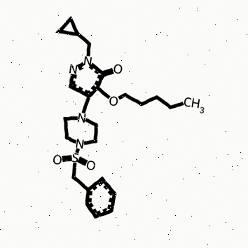 CCCCCOc1c(N2CCN(S(=O)(=O)Cc3ccccc3)CC2)cnn(CC2CC2)c1=O